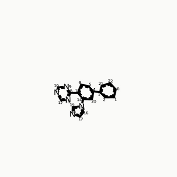 c1ccc(-c2ccc(-c3ncncn3)c(-n3ccnc3)c2)cc1